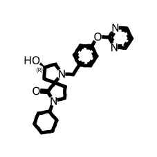 O=C1N(C2CCCCC2)CCC12C[C@@H](O)CN2Cc1ccc(Oc2ncccn2)cc1